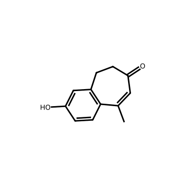 CC1=CC(=O)CCc2cc(O)ccc21